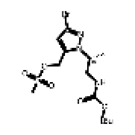 C[C@H](CNC(=O)OC(C)(C)C)n1nc(Br)cc1COS(C)(=O)=O